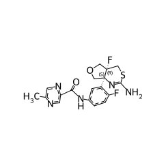 Cc1cnc(C(=O)Nc2ccc(F)c([C@]34COC[C@@]3(F)CSC(N)=N4)c2)cn1